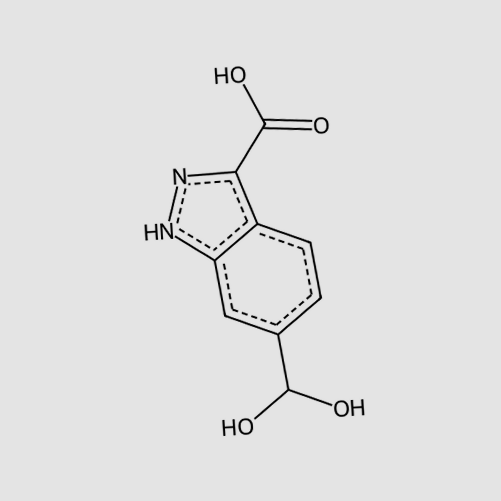 O=C(O)c1n[nH]c2cc(C(O)O)ccc12